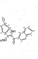 CC(=O)Nc1c(C(=O)c2ccc3ccccc3c2)[nH]c2cc(Cl)ccc12